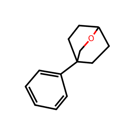 c1ccc(C23CCC(CC2)OC3)cc1